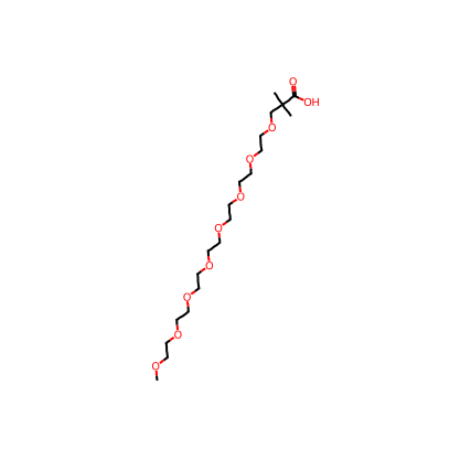 COCCOCCOCCOCCOCCOCCOCCOCC(C)(C)C(=O)O